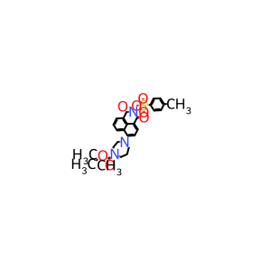 Cc1ccc(S(=O)(=O)ON2C(=O)c3cccc4c(N5CCCN(C(=O)OC(C)(C)C)CC5)ccc(c34)C2=O)cc1